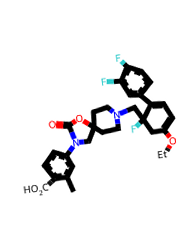 CCOC1=CC=C(c2ccc(F)c(F)c2)C(F)(CN2CCC3(CC2)CN(c2ccc(C(=O)O)c(C)c2)C(=O)O3)C1